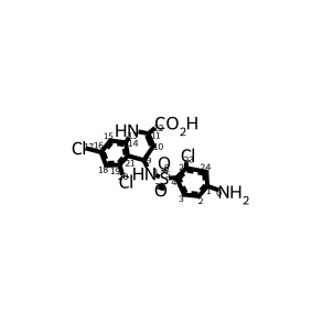 Nc1ccc(S(=O)(=O)NC2C=C(C(=O)O)Nc3cc(Cl)cc(Cl)c32)c(Cl)c1